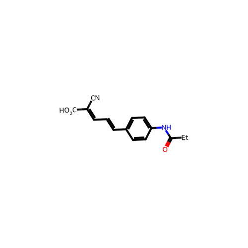 CCC(=O)Nc1ccc(/C=C/C=C(\C#N)C(=O)O)cc1